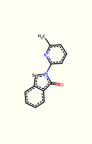 Cc1cccc(-n2[se]c3ccccc3c2=O)n1